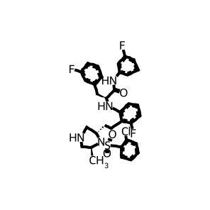 C[C@H]1CNC[C@H](CCc2c(F)cccc2N[C@@H](Cc2cccc(F)c2)C(=O)Nc2cccc(F)c2)N1S(=O)(=O)c1ccccc1Cl